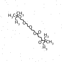 CC(C)(C)OCCOCCOCCOC(=O)CCC(=O)C(C)(C)C